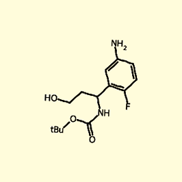 CC(C)(C)OC(=O)NC(CCO)c1cc(N)ccc1F